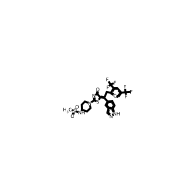 CS(=O)(=O)NC1CCN(C2=NC(=O)C(=C(Cc3ccc(C(F)(F)F)cc3C(F)(F)F)c3ccc4[nH]ncc4c3)S2)CC1